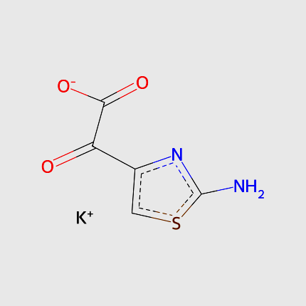 Nc1nc(C(=O)C(=O)[O-])cs1.[K+]